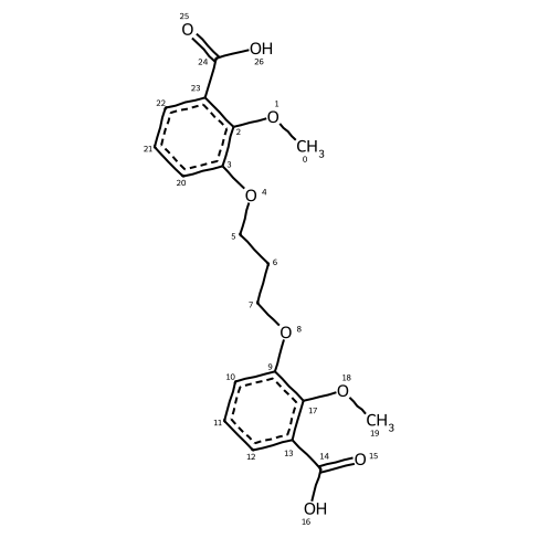 COc1c(OCCCOc2cccc(C(=O)O)c2OC)cccc1C(=O)O